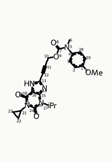 COc1ccc(N(C)C(=O)OCC#Cc2nc3c([nH]2)c(=O)n(C2CC2)c(=O)n3C(C)C)cc1